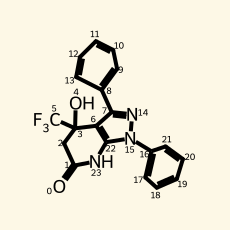 O=C1CC(O)(C(F)(F)F)c2c(-c3ccccc3)nn(-c3ccccc3)c2N1